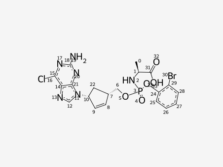 C[C@H](NP(=O)(OC[C@@H]1C=C[C@H](n2cnc3c(Cl)nc(N)nc32)C1)Oc1ccccc1Br)C(=O)O